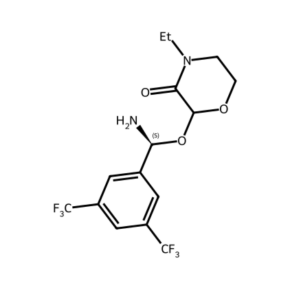 CCN1CCOC(O[C@H](N)c2cc(C(F)(F)F)cc(C(F)(F)F)c2)C1=O